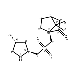 C[C@H]1CN[C@H](CS(=O)(=O)C[C@]23CCC(CC2=O)C3(C)C)C1